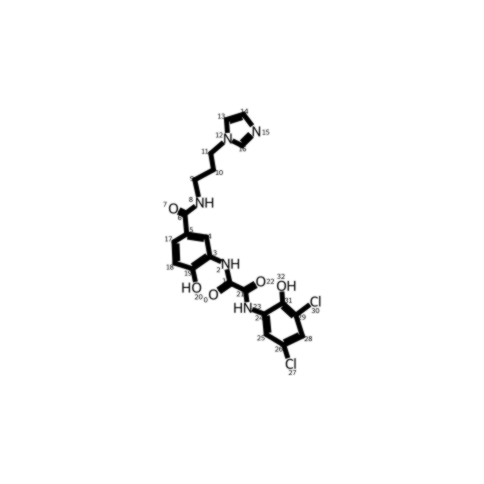 O=C(Nc1cc(C(=O)NCCCn2ccnc2)ccc1O)C(=O)Nc1cc(Cl)cc(Cl)c1O